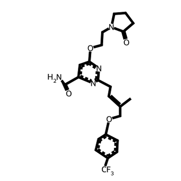 C/C(=C\Cc1nc(OCCN2CCCC2=O)cc(C(N)=O)n1)COc1ccc(C(F)(F)F)cc1